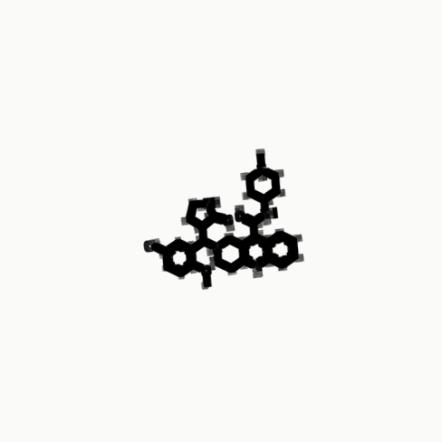 COc1ccc(Cl)cc1C(C1CCNC1=O)N1CCc2nc3ccccc3c(C(=O)NC3CCN(C)CC3)c2C1